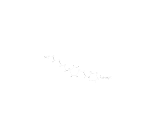 CCCCCCC[C@H]1CC[C@H](C=C[C@H]2CC[C@H](CCC=CC=CC#N)CC2)CC1